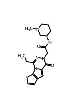 CCc1nn(CC(=O)N[C@@H]2CCCN(C)C2)c(=O)c2cc3ccsc3n12